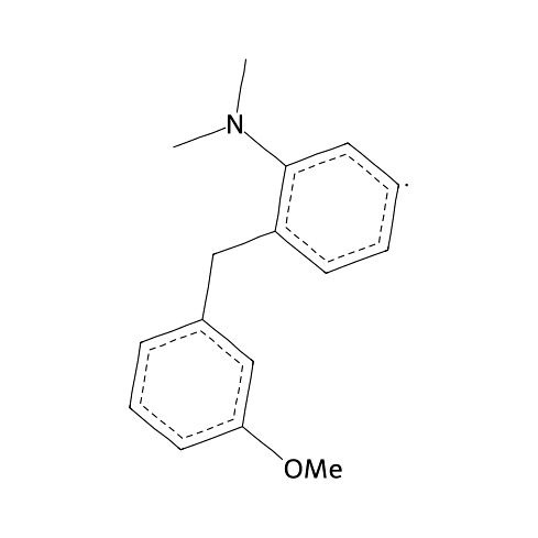 COc1cccc(Cc2cc[c]cc2N(C)C)c1